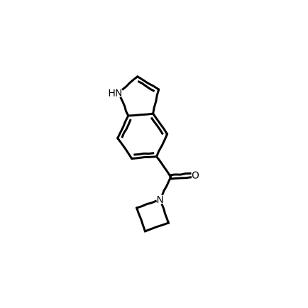 O=C(c1ccc2[nH]ccc2c1)N1CCC1